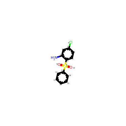 Nc1cc(Cl)ccc1S(=O)(=O)c1ccccc1